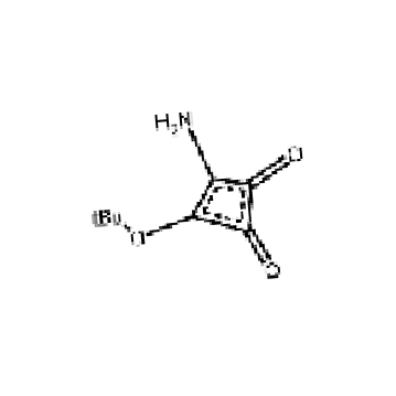 CC(C)(C)Oc1c(N)c(=O)c1=O